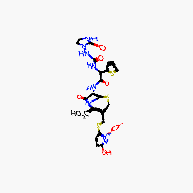 O=C(NC(C(=O)N[C@H]1C(=O)N2C(C(=O)O)=C(CSc3ccc(O)n[n+]3[O-])CSC12)c1cccs1)NN1CCNC1=O